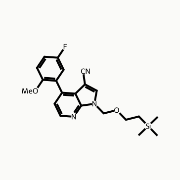 COc1ccc(F)cc1-c1ccnc2c1c(C#N)cn2COCC[Si](C)(C)C